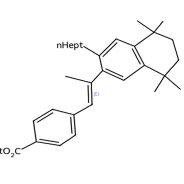 CCCCCCCc1cc2c(cc1/C(C)=C/c1ccc(C(=O)OCC)cc1)C(C)(C)CCC2(C)C